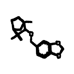 CC12CCC(C1)C(C)(C)C2OCc1ccc2c(c1)OCO2